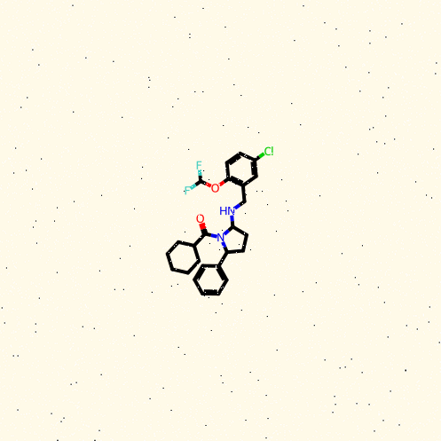 O=C(C1CCCCC1)N1C(NCc2cc(Cl)ccc2OC(F)F)CCC1c1ccccc1